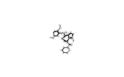 COc1ccc(OC)c(Nc2ncc(C(=O)N3CCCCC3)c3c2ccn3C)c1